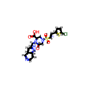 O=C(O)C1CN(S(=O)(=O)/C=C/c2ccc(Cl)s2)CC(=O)N1Cc1cc2cnccc2[nH]1